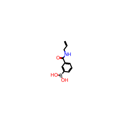 C=CCNC(=O)c1cccc(B(O)O)c1